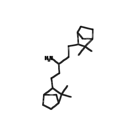 CC1(C)C2CCC(C2)C1CCC(N)CCC1C2CCC(C2)C1(C)C